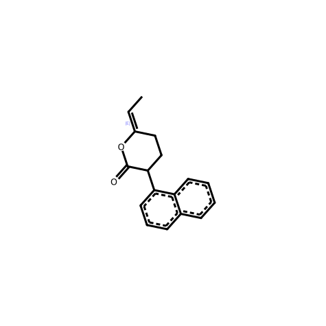 C/C=C1\CCC(c2cccc3ccccc23)C(=O)O1